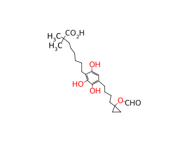 CC(C)(CCCCCCc1c(O)cc(CCCCC2(OC=O)CC2)c(O)c1O)C(=O)O